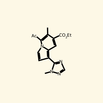 CCOC(=O)c1cc2c(-c3ncnn3C)ccn2c(C(C)=O)c1C